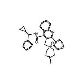 CN1CC[N+]([O-])(Cc2c(-c3ccccc3)nc3ccccc3c2C(=O)NC(c2ccccc2)C2CC2)CC1